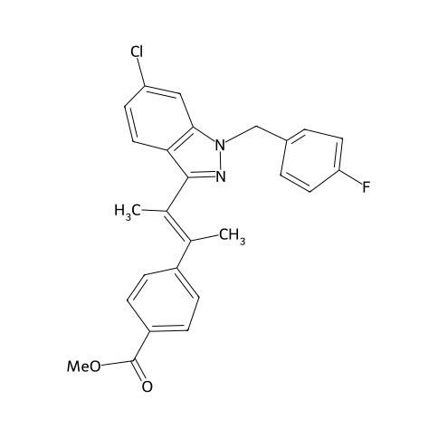 COC(=O)c1ccc(/C(C)=C(\C)c2nn(Cc3ccc(F)cc3)c3cc(Cl)ccc23)cc1